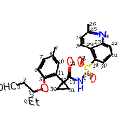 CC[C@H](CC=O)Oc1ccc(C)cc1C1(C(=O)NS(=O)(=O)c2cccc3nc(C)ccc23)CC1